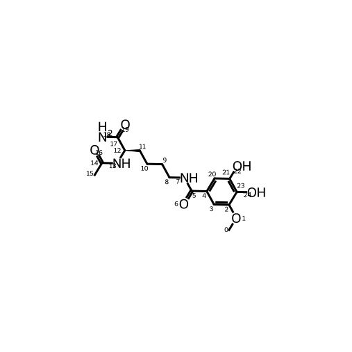 COc1cc(C(=O)NCCCC[C@@H](NC(C)=O)C(N)=O)cc(O)c1O